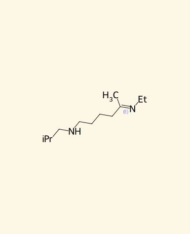 CC/N=C(\C)CCCCNCC(C)C